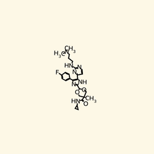 CN(C)CCCNc1nccc(-c2[nH]c(C3OCC(C)(C(=O)NC4CC4)CO3)nc2-c2ccc(F)cc2)n1